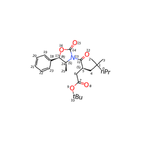 CCCC(C)(C)C[C@@H](CC(=O)OC(C)(C)C)C(=O)N1C(=O)O[C@H](c2ccccc2)[C@@H]1C